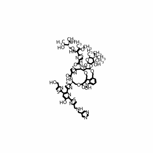 CN[C@H](CON/C(=C(\C)OC)c1nc(C(=O)N[C@@H]2c3nc(cs3)C(=O)N[C@H](c3nc(-c4nc(-c5nc(CNCc6cncnc6)cs5)c(O)cc4-c4nc(CO)cs4)cs3)COC(=O)c3c4c5c(cccc5n3O)COC(=O)[C@@H](O[C@H]3C[C@](C)(O)[C@H](N(C)C)[C@H](C)O3)[C@H]2OC4)cs1)[C@@H](C)O